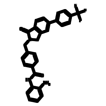 Nc1ccccc1NC(=O)c1ccc(CN2Cc3cc(-c4ccc(C(F)(F)F)cc4)ccc3C2=O)cc1